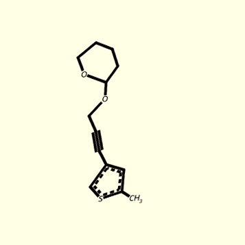 Cc1cc(C#CCOC2CCCCO2)cs1